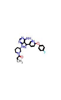 C=CC(=O)N1CCC[C@@H](n2nc(-c3ccc(Oc4ccc(F)cc4)nc3)c3c(N)ncnc32)C1